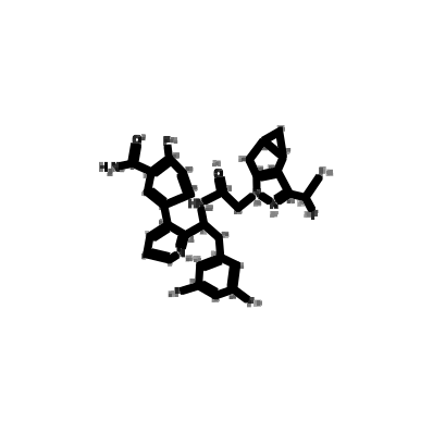 NC(=O)c1cc(-c2cccnc2C(Cc2cc(F)cc(F)c2)NC(=O)Cn2nc(C(F)F)c3c2CC2CC32)ccc1F